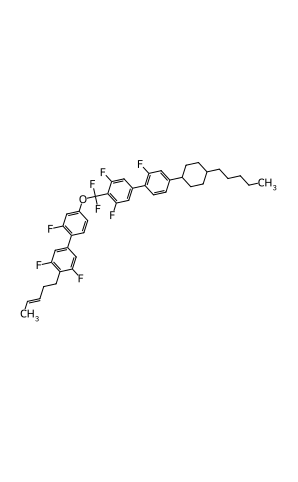 C/C=C/CCc1c(F)cc(-c2ccc(OC(F)(F)c3c(F)cc(-c4ccc(C5CCC(CCCCC)CC5)cc4F)cc3F)cc2F)cc1F